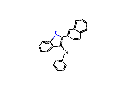 c1ccc([Se]c2c(-c3ccc4ccccc4c3)[nH]c3ccccc23)cc1